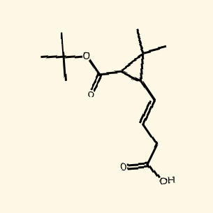 CC(C)(C)OC(=O)C1C(C=CCC(=O)O)C1(C)C